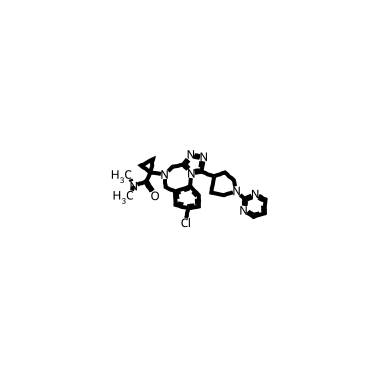 CN(C)C(=O)C1(N2Cc3cc(Cl)ccc3-n3c(nnc3C3CCN(c4ncccn4)CC3)C2)CC1